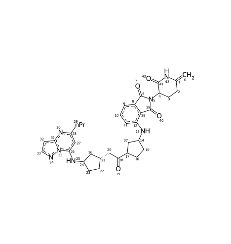 C=C1CCC(N2C(=O)c3cccc(NC4CCC(C(=O)C[C@@H]5CCC(Nc6cc(CCC)nc7ccnn67)C5)C4)c3C2=O)C(=O)N1